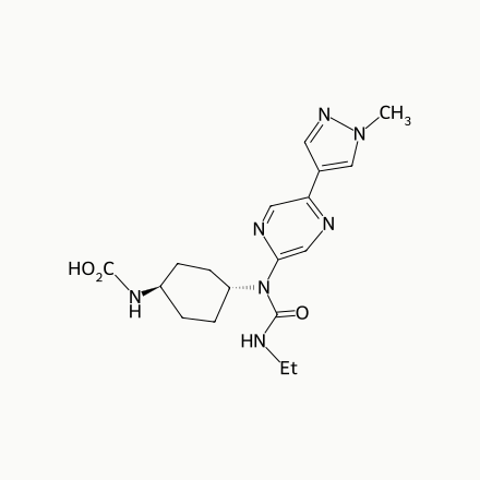 CCNC(=O)N(c1cnc(-c2cnn(C)c2)cn1)[C@H]1CC[C@H](NC(=O)O)CC1